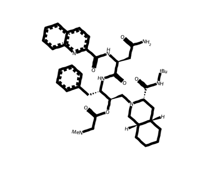 CNCC(=O)O[C@H](CN1C[C@H]2CCCC[C@H]2C[C@H]1C(=O)NC(C)(C)C)[C@H](Cc1ccccc1)NC(=O)[C@H](CC(N)=O)NC(=O)c1ccc2ccccc2n1